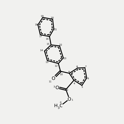 COC(=O)c1ccccc1C(=O)c1ccc(-c2ccccc2)cc1